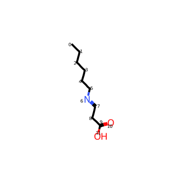 CCCCCCN=CCC(=O)O